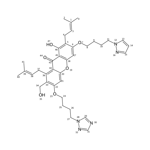 CC(C)=CCc1c(OCCCCn2cccn2)cc2oc3cc(OCCCCn4cncn4)c(CO)c(CC=C(C)C)c3c(=O)c2c1O